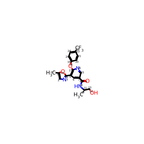 Cc1cnc(-c2cc(C(=O)N[C@H](C)CO)cnc2Oc2ccc(C(F)(F)F)cc2)o1